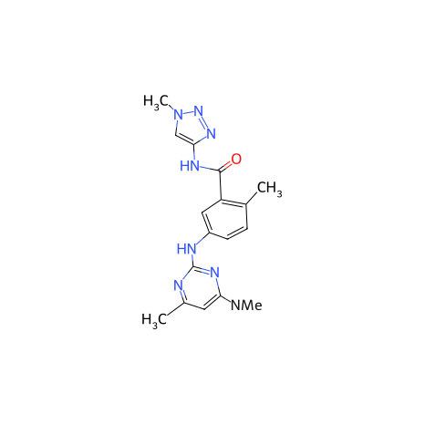 CNc1cc(C)nc(Nc2ccc(C)c(C(=O)Nc3cn(C)nn3)c2)n1